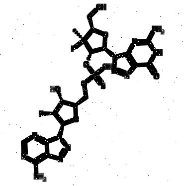 C[C@]1(F)[C@@H](CO)O[C@@H](n2nnc3c(=O)[nH]c(N)nc32)[C@@H]1OP(O)(=S)OC[C@H]1O[C@@H](n2nnc3c(N)ncnc32)[C@@H](F)[C@@H]1O